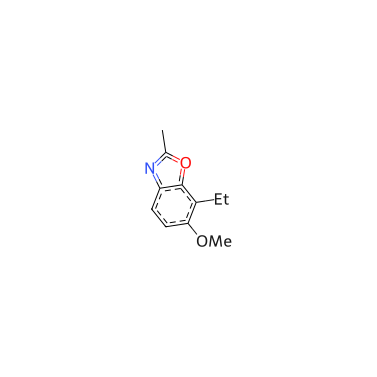 CCc1c(OC)ccc2nc(C)oc12